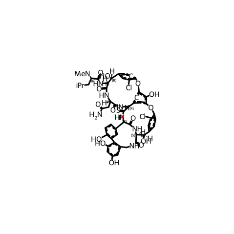 CN[C@H](CC(C)C)C(=O)N[C@H]1C(=O)N[C@@H](CC(N)=O)C(=O)N[C@H]2C(=S)N[C@H]3C(=O)N[C@H](C(=O)NCc4cc(O)cc(O)c4-c4cc3ccc4O)[C@H](O)c3ccc(c(Cl)c3)Oc3cc2cc(c3O)Oc2ccc(cc2Cl)[C@H]1O